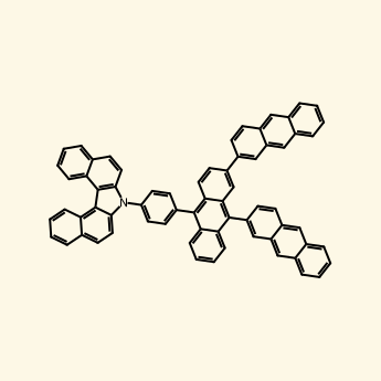 c1ccc2cc3cc(-c4ccc5c(-c6ccc(-n7c8ccc9ccccc9c8c8c9ccccc9ccc87)cc6)c6ccccc6c(-c6ccc7cc8ccccc8cc7c6)c5c4)ccc3cc2c1